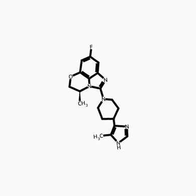 Cc1[nH]cnc1C1CCN(c2nc3cc(F)cc4c3n2[C@@H](C)CO4)CC1